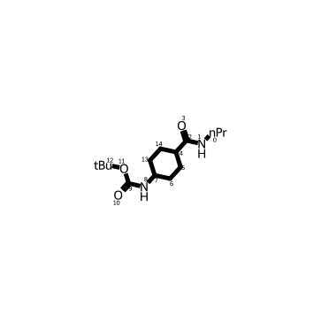 CCCNC(=O)C1CCC(NC(=O)OC(C)(C)C)CC1